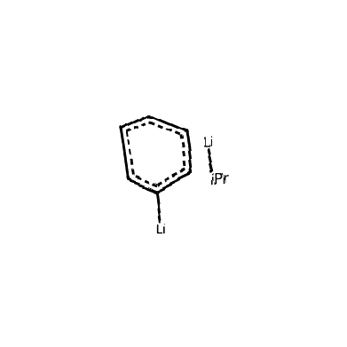 [Li][CH](C)C.[Li][c]1ccccc1